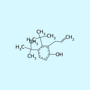 C=CCc1c(O)ccc(C(C)(C)C)c1C(C)(C)C